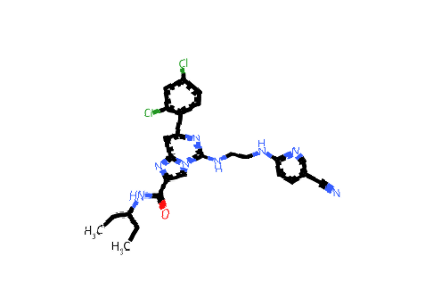 CCC(CC)NC(=O)c1cn2c(NCCNc3ccc(C#N)cn3)nc(-c3ccc(Cl)cc3Cl)cc2n1